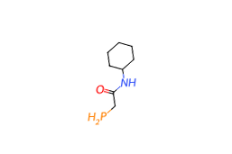 O=C(CP)NC1CCCCC1